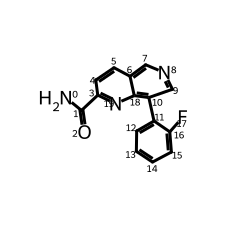 NC(=O)c1ccc2cncc(-c3ccccc3F)c2n1